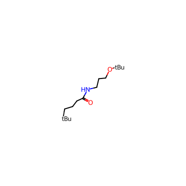 CC(C)(C)CCCC(=O)NCCCOC(C)(C)C